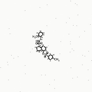 Cc1ccc(S(=O)(=O)Oc2cccc3c(S(=O)(=O)NCc4ccccc4C)cccc23)cc1